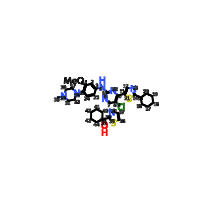 COc1cc(Nc2ncc(Cl)c(-c3cnc(C4CCCCC4)s3)n2)ccc1N1CCN(C)CC1.OC1(c2nccs2)CCCCC1